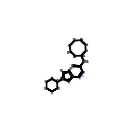 O=C(/C=C\c1cn(C2CCCCC2)nn1)OC1CCCCCCC1